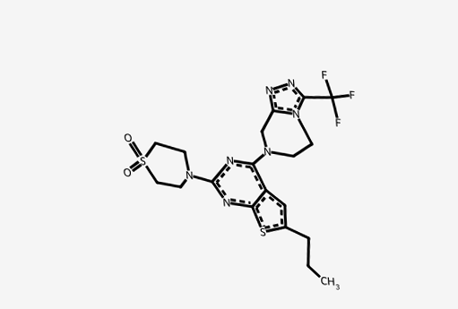 CCCc1cc2c(N3CCn4c(nnc4C(F)(F)F)C3)nc(N3CCS(=O)(=O)CC3)nc2s1